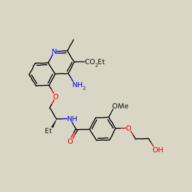 CCOC(=O)c1c(C)nc2cccc(OC[C@H](CC)NC(=O)c3ccc(OCCO)c(OC)c3)c2c1N